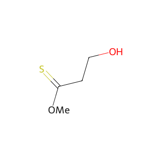 COC(=S)CCO